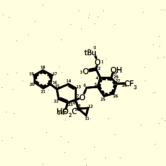 CC(C)(C)OC(=O)c1c(COC2(C3(C(=O)O)CC3)C=CC(c3ccccc3)C=C2F)ccc(C(F)(F)F)c1O